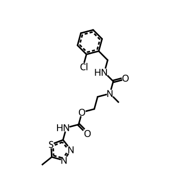 Cc1nnc(NC(=O)OCCN(C)C(=O)NCc2ccccc2Cl)s1